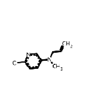 C=CCN(C)c1ccc(Cl)nc1